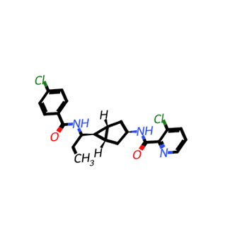 CCC(NC(=O)c1ccc(Cl)cc1)[C@H]1[C@@H]2C[C@@H](NC(=O)c3ncccc3Cl)C[C@@H]21